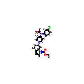 CCOC(=O)N1C(C)CCC1CC(CC)N1CCC(N(C(C)=O)c2cccc(Cl)c2)CC1